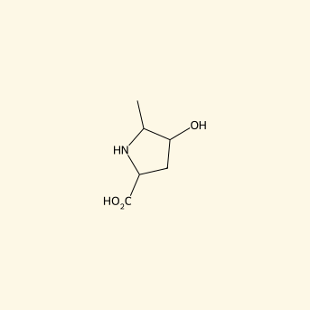 CC1NC(C(=O)O)CC1O